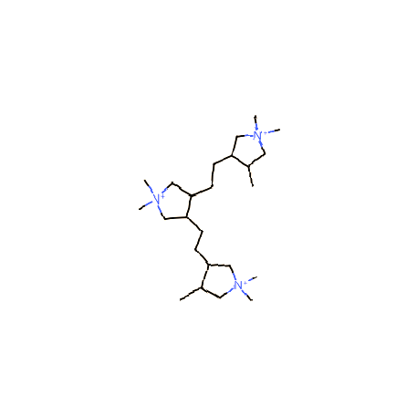 CC1C[N+](C)(C)CC1CCC1C[N+](C)(C)CC1CCC1C[N+](C)(C)CC1C